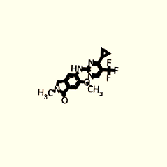 COc1cc2c(cc1Nc1ncc(C(F)(F)F)c(C3CC3)n1)CN(C)C2=O